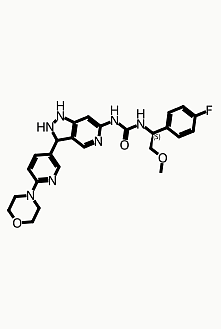 COC[C@@H](NC(=O)Nc1cc2c(cn1)C(c1ccc(N3CCOCC3)nc1)NN2)c1ccc(F)cc1